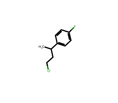 CC(CCCl)c1ccc(F)cc1